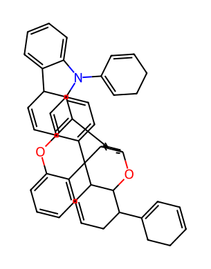 C1=CCCC(C2CC=CC3C2OC2C=CC=C(C4=CC=CC5c6ccccc6N(C6=CCCC=C6)C45)C2C32c3ccccc3Oc3ccccc32)=C1